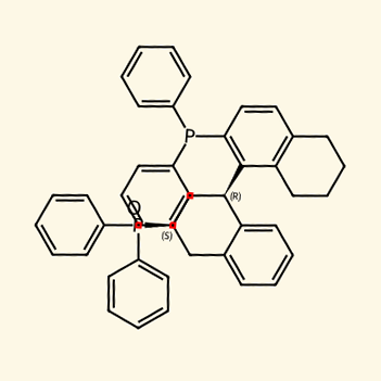 O=P(c1ccccc1)(c1ccccc1)[C@@H]1Cc2ccccc2[C@H](c2c(P(c3ccccc3)c3ccccc3)ccc3c2CCCC3)C1